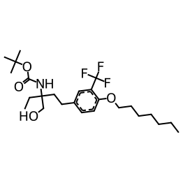 CCCCCCCOc1ccc(CCC(CC)(CO)NC(=O)OC(C)(C)C)cc1C(F)(F)F